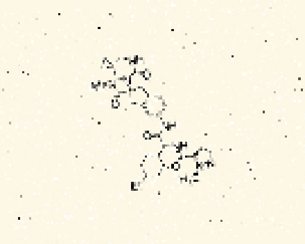 CCC1CCC(C(NC(=O)c2ccnn2C)C(=O)Nc2ccc3c(c2)CC(C(=O)NC)(N2CC4(CC4)CNC2=O)C3)CC1